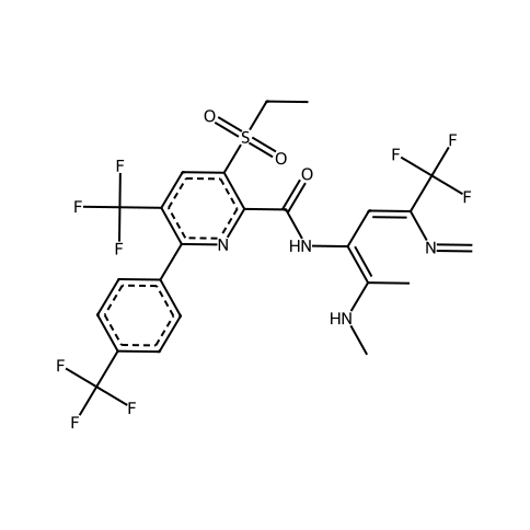 C=N/C(=C\C(NC(=O)c1nc(-c2ccc(C(F)(F)F)cc2)c(C(F)(F)F)cc1S(=O)(=O)CC)=C(/C)NC)C(F)(F)F